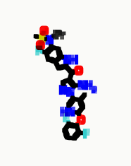 CC1=CC(Oc2c(F)cccc2F)NC=C1n1ncc(C(=O)c2cc3cc(F)c(N(C(C)C)S(C)(=O)=O)cc3[nH]2)c1N